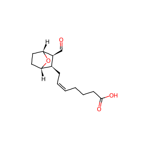 O=C[C@H]1[C@@H](C/C=C\CCCC(=O)O)[C@@H]2CC[C@H]1O2